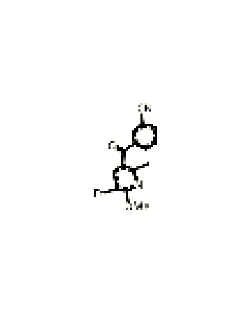 CCc1cc(C(=O)c2cccc(C#N)c2)c(C)nc1OC